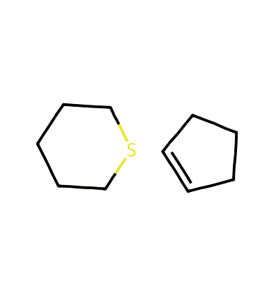 C1=CCCC1.C1CCSCC1